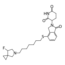 O=C1CCC(N2Cc3c(SCCCCCCCN4CC(F)C5(CC5)C4)cccc3C2=O)C(=O)N1